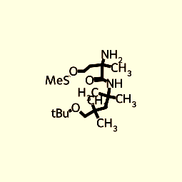 CSOCCC(C)(N)C(=O)NC(C)(C)CC(C)(C)COC(C)(C)C